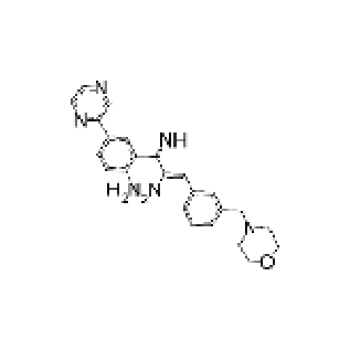 N=C(/C(N)=C/c1cccc(CN2CCOCC2)c1)c1cc(-c2cnccn2)ccc1N